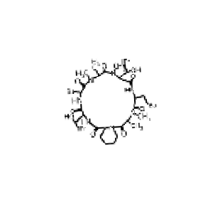 CCC(C)CC1NC(=O)C(C(O)C(C)C)N(C)C(=O)C(C)N(C)C(=O)C(C(C)CC)NC(=O)C(C(O)C(C)C)NC(=O)C2CCCCN2C(=O)C(C)N(C)C1=O